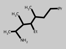 CCC(C(C)CCC(C)C)C(C)C(C)N